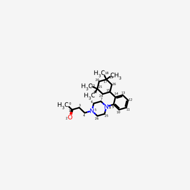 CC(=O)CCN1CCN(c2ccccc2C2CC(C)(C)CC(C)(C)C2)CC1